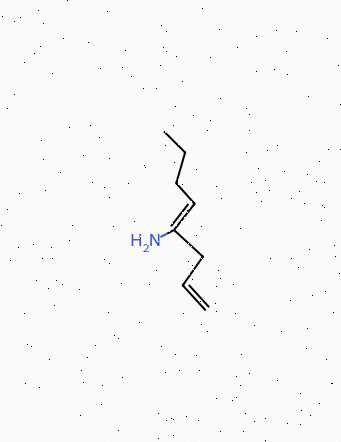 C=CCC(N)=CCCC